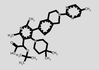 Cc1cnc(N2CCc3cc(-c4c(C)nc(C)c(C(OC(C)(C)C)C(=O)O)c4N4CCC(C)(C)CC4)ccc3C2)nc1